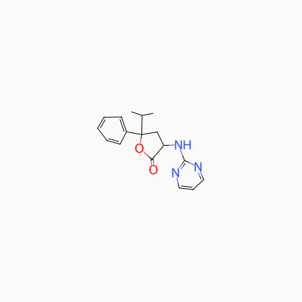 CC(C)C1(c2ccccc2)CC(Nc2ncccn2)C(=O)O1